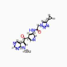 CC(C)(C)n1cc(C(=O)c2cncc(NC(=O)Cn3cc(C4CC4)nn3)c2)c2cncnc21